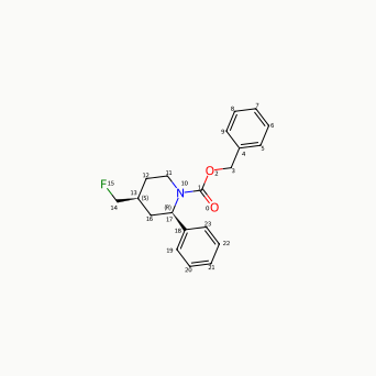 O=C(OCc1ccccc1)N1CC[C@H](CF)C[C@@H]1c1ccccc1